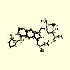 BB(CC)Cc1nn(CB(CB(B)B(B)B)B(B)B)c2cc3ncnc(NN4CCC[C@H]4C=O)c3cc12